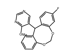 COc1ncncc1C1c2ccccc2OCOc2cc(F)ccc21